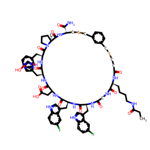 CCC(=O)NCCCC[C@@H]1NC(=O)CCSCc2cccc(c2)CSC[C@@H](C(N)=O)NC(=O)[C@]2(C)CCCN2C(=O)[C@H](Cc2ccc(O)cc2)NC(=O)[C@H](Cc2cnc[nH]2)NC(=O)C(CC(=O)O)NC(=O)[C@H](Cc2c[nH]c3ccc(F)cc23)NC(=O)[C@H](Cc2c[nH]c3ccc(F)cc23)NC(=O)CNC1=O